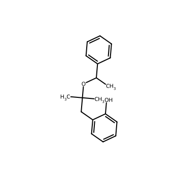 CC(OC(C)(C)Cc1ccccc1O)c1ccccc1